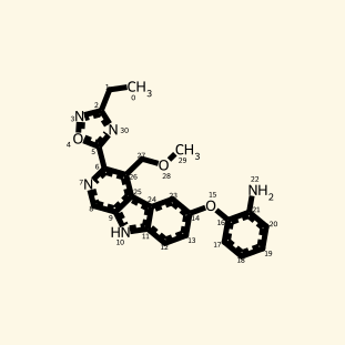 CCc1noc(-c2ncc3[nH]c4ccc(Oc5ccccc5N)cc4c3c2COC)n1